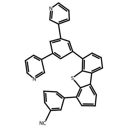 N#Cc1cccc(-c2cccc3c2sc2c(-c4cc(-c5cccnc5)cc(-c5cccnc5)c4)cccc23)c1